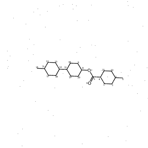 CC1CCC(C(=O)OC2CCC(C3CCC(C)CC3)CC2)CC1